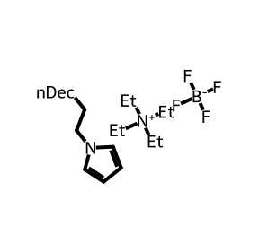 CCCCCCCCCCCCn1cccc1.CC[N+](CC)(CC)CC.F[B-](F)(F)F